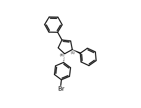 Brc1ccc([C@@H]2CC(c3ccccc3)=C[C@H]2c2ccccc2)cc1